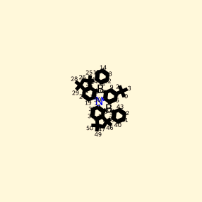 CC(C)(C)c1cc2c3c(c1)B(c1ccccc1)c1c(ccc4c1C(C)(C)CC4(C)C)N3c1ccc3c(c1B2c1ccccc1)C(C)(C)CC3(C)C